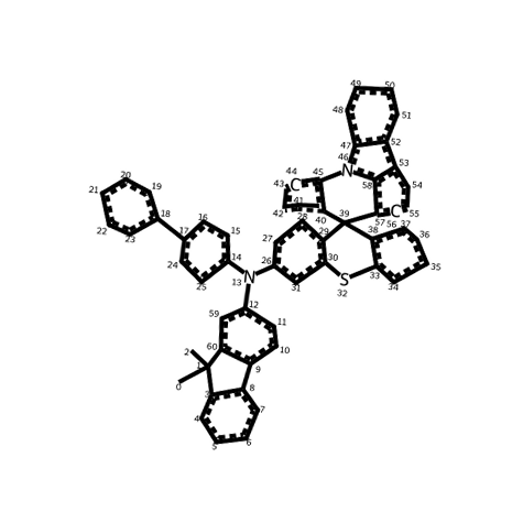 CC1(C)c2ccccc2-c2ccc(N(c3ccc(-c4ccccc4)cc3)c3ccc4c(c3)Sc3ccccc3C43c4ccccc4-n4c5ccccc5c5cccc3c54)cc21